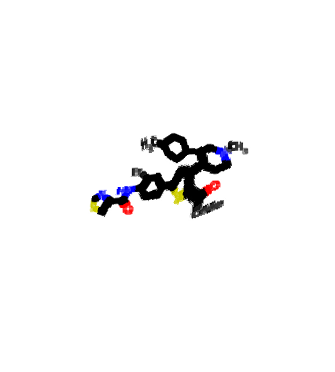 CCc1cc(-c2cc(C3=C(C4CCC(C)CC4)CN(C)CC3)c(C(=O)OC)s2)ccc1NC(=O)c1cscn1